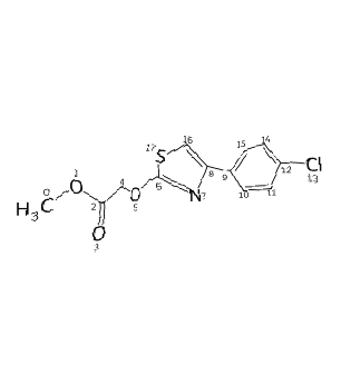 COC(=O)COc1nc(-c2ccc(Cl)cc2)cs1